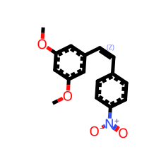 COc1cc(/C=C\c2ccc([N+](=O)[O-])cc2)cc(OC)c1